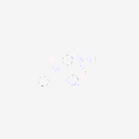 CCC1(C)CC(=O)N(C(c2cncnc2)c2cccc(C(=O)N[C@H]3CCc4ccccc43)c2)C(=N)N1